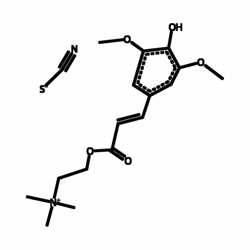 COc1cc(C=CC(=O)OCC[N+](C)(C)C)cc(OC)c1O.N#C[S-]